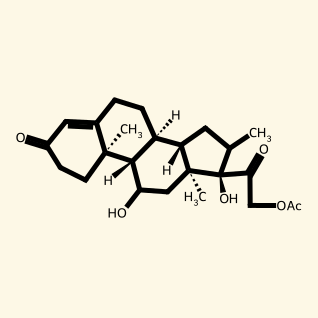 CC(=O)OCC(=O)[C@@]1(O)C(C)C[C@H]2[C@@H]3CCC4=CC(=O)CC[C@]4(C)[C@H]3C(O)C[C@@]21C